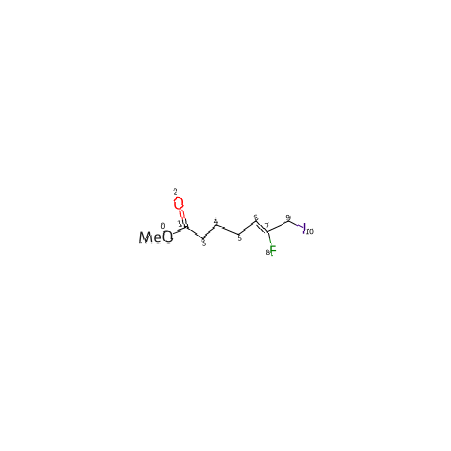 COC(=O)CCCC=C(F)CI